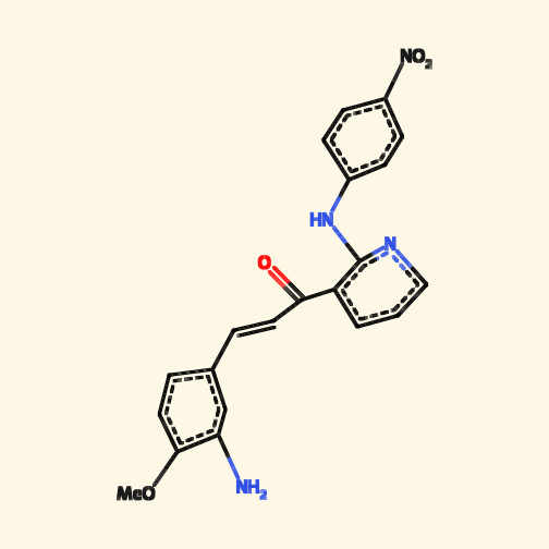 COc1ccc(C=CC(=O)c2cccnc2Nc2ccc([N+](=O)[O-])cc2)cc1N